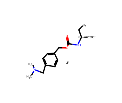 CC(C)C[C@H](NC(=O)OCc1ccc(CN(C)C)cc1)C(=O)[O-].[Li+]